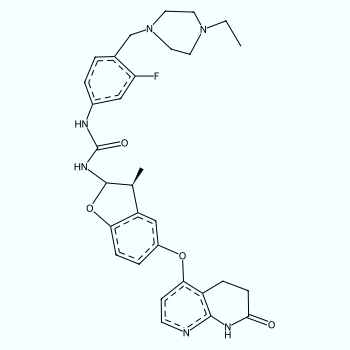 CCN1CCN(Cc2ccc(NC(=O)NC3Oc4ccc(Oc5ccnc6c5CCC(=O)N6)cc4[C@@H]3C)cc2F)CC1